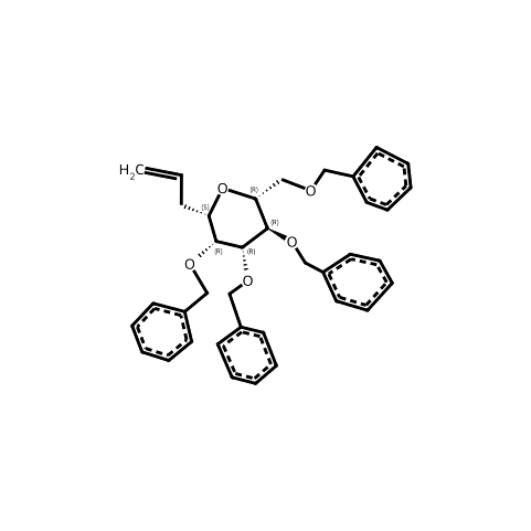 C=CC[C@@H]1O[C@H](COCc2ccccc2)[C@@H](OCc2ccccc2)[C@H](OCc2ccccc2)[C@@H]1OCc1ccccc1